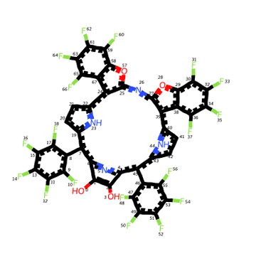 OC1=C(O)c2nc1c(-c1c(F)c(F)c(F)c(F)c1F)c1ccc([nH]1)c1c(nc3oc4c(F)c(F)c(F)c(F)c4c3c3ccc([nH]3)c2-c2c(F)c(F)c(F)c(F)c2F)oc2c(F)c(F)c(F)c(F)c21